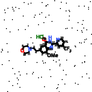 COc1cc(CCN2CCOCC2)cc2c(=O)[nH]c(-c3cc(C(F)(F)F)ccn3)nc12.Cl